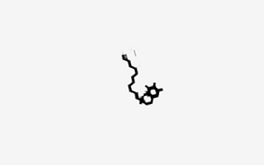 Cc1cc2c(c(C)c1C)OC(C)(CCC[C@H](C)CCC[C@H](C)CCCC(C)C)CC2